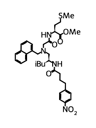 CC[C@H](C)[C@@H](CN(CC(=O)N[C@@H](CCSC)C(=O)OC)Cc1cccc2ccccc12)NC(=O)CCCc1ccc([N+](=O)[O-])cc1